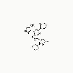 Cc1cc(-c2nsc3c(-n4nncc4C(F)(F)F)cc(N4CCOC[C@H]4C)nc23)n(C2CCCCO2)n1